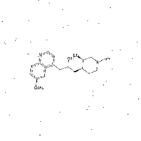 CCCN1CC[C@@H](CC(O)Cc2ccnc3ccc(OC)cc23)[C@@H](CC)C1